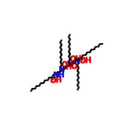 CCCCCCCCCCC(O)CNCCN(CCCN(CCN(CC(O)CCCCCCCCCC)CC(O)CCCCCCCCCC)CC(O)CCCCCCCCCC)CC(O)CCCCCCCCCC